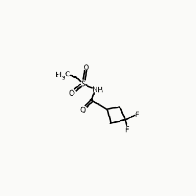 CS(=O)(=O)NC(=O)C1CC(F)(F)C1